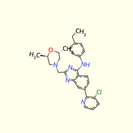 CCc1ccc(Nc2nc(CN3C[C@@H](C)O[C@H](C)C3)nc3cc(-c4ncccc4Cl)ccc23)cc1